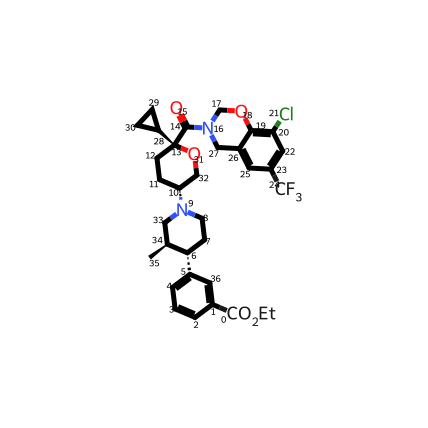 CCOC(=O)c1cccc([C@H]2CCN([C@@H]3CC[C@@](C(=O)N4COc5c(Cl)cc(C(F)(F)F)cc5C4)(C4CC4)OC3)C[C@@H]2C)c1